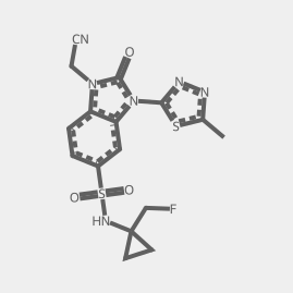 Cc1nnc(-n2c(=O)n(CC#N)c3ccc(S(=O)(=O)NC4(CF)CC4)cc32)s1